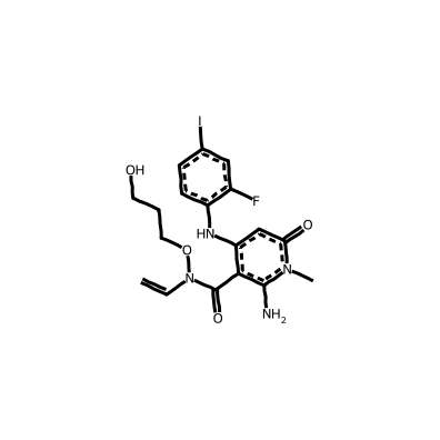 C=CN(OCCCO)C(=O)c1c(Nc2ccc(I)cc2F)cc(=O)n(C)c1N